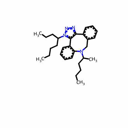 CCCCC(C)N1Cc2ccccc2-c2nnn(C(CCC)CCCC)c2-c2ccccc21